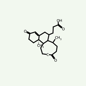 CC1CCC(=O)CCCC2C1C(CCC(=O)O)CC1=CC(=O)CC[C@@]12C